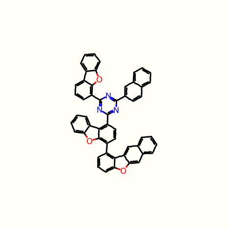 c1ccc2cc(-c3nc(-c4cccc5c4oc4ccccc45)nc(-c4ccc(-c5cccc6oc7cc8ccccc8cc7c56)c5oc6ccccc6c45)n3)ccc2c1